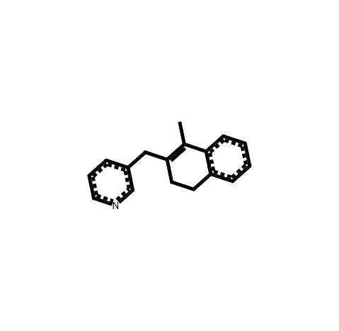 CC1=C(Cc2cccnc2)CCc2ccccc21